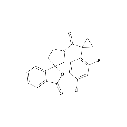 O=C1OC2(CCN(C(=O)C3(c4ccc(Cl)cc4F)CC3)C2)c2ccccc21